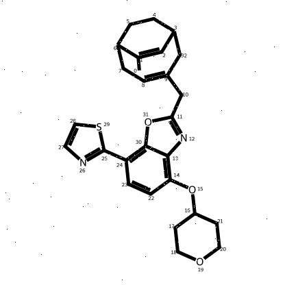 CC1=CC2CCC1C/C=C(/Cc1nc3c(OC4CCOCC4)ccc(-c4nccs4)c3o1)C2